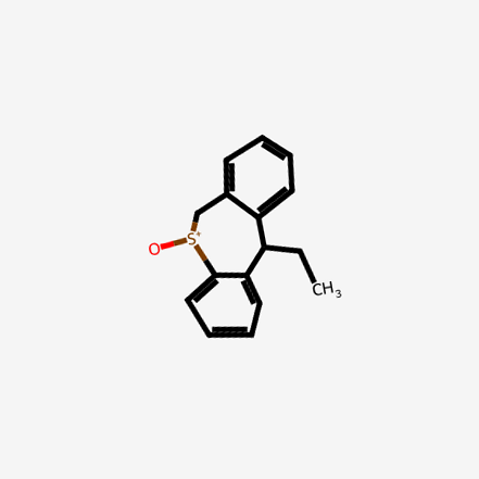 CCC1c2ccccc2C[S+]([O-])c2ccccc21